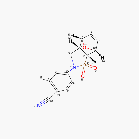 Cc1cc(N2C[C@@H]3[C@@H]4C=C[C@@H](O4)[C@]3(C)S2(=O)=O)ccc1C#N